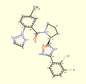 Cc1ccc(-n2nccn2)c(C(=O)N2CCC[C@H]2c2nc(-c3cccc(F)c3F)no2)c1